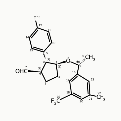 C[C@@H](O[C@H]1CC[C@@H](C=O)[C@@H]1c1ccc(F)cc1)c1cc(C(F)(F)F)cc(C(F)(F)F)c1